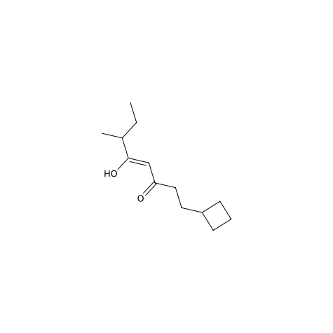 CCC(C)/C(O)=C/C(=O)CCC1CCC1